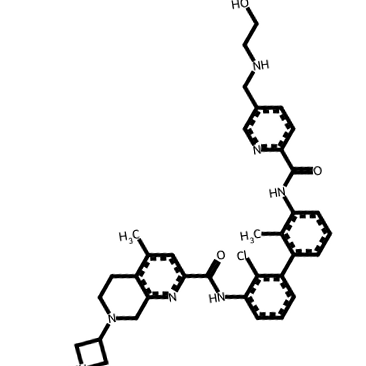 Cc1cc(C(=O)Nc2cccc(-c3cccc(NC(=O)c4ccc(CNCCO)cn4)c3C)c2Cl)nc2c1CCN(C1CNC1)C2